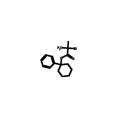 CCC(C)(C(=O)OC1(c2ccccc2)CCCCC1)C(F)(F)F